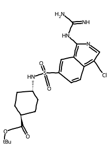 CC(C)(C)OC(=O)[C@H]1CC[C@H](NS(=O)(=O)c2ccc3c(Cl)cnc(NC(=N)N)c3c2)CC1